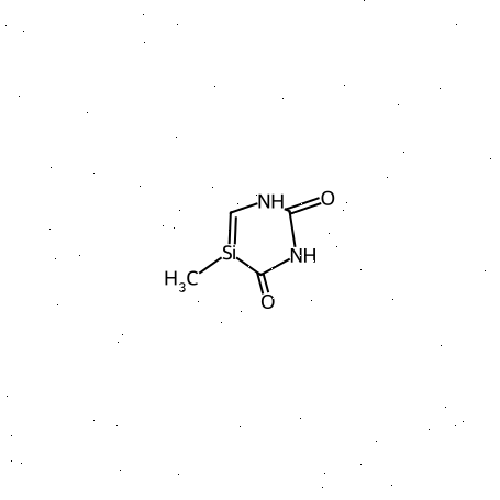 C[si]1c[nH]c(=O)[nH]c1=O